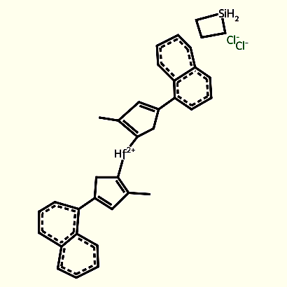 C1C[SiH2]C1.CC1=[C]([Hf+2][C]2=C(C)C=C(c3cccc4ccccc34)C2)CC(c2cccc3ccccc23)=C1.[Cl-].[Cl-]